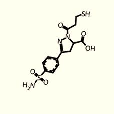 NS(=O)(=O)c1ccc(C2=NN(C(=O)CCS)C(C(=O)O)C2)cc1